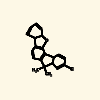 CC1(C)c2ccc3c(c2C2C=CC(Cl)=CC21)OC1C=CC=CC31